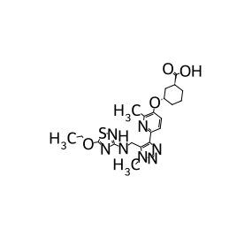 CCOc1nc(NCc2c(-c3ccc(O[C@H]4CCC[C@H](C(=O)O)C4)c(C)n3)nnn2C)ns1